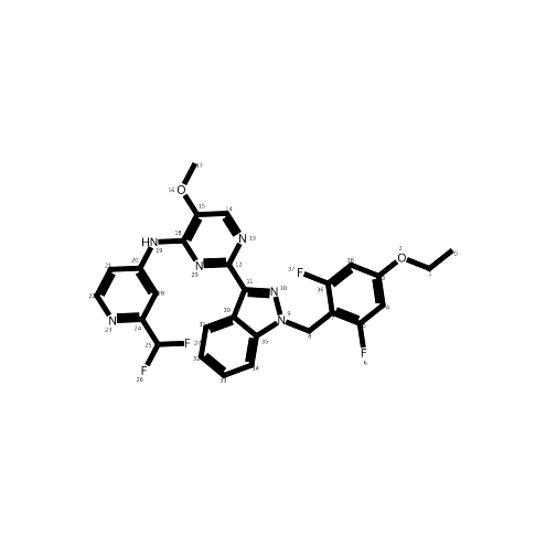 CCOc1cc(F)c(Cn2nc(-c3ncc(OC)c(Nc4ccnc(C(F)F)c4)n3)c3ccccc32)c(F)c1